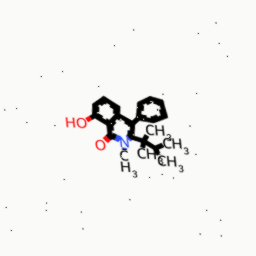 CC(C)C(C)(C)c1c(-c2ccccc2)c2cccc(O)c2c(=O)n1C